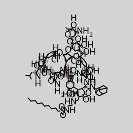 CCCCCCCCCCS(=O)(=O)NCCNCC1[C@H](O)C2C3C[C@H](CC[C@H]3O)[C@H]3NC(=O)[C@@H]4NC(=O)[C@H](CC(N)=O)NC(=O)[C@H](NC(=O)[C@@H](CC(C)C)NC)[C@H](O)[C@H]5CC[C@@H](Oc6cc4cc(c6O[C@@H]4C[C@H](CO)[C@@H](O)[C@H](O)[C@H]4O[C@H]4C[C@H](N)[C@H](O)[C@H](C)O4)O[C@@H]4CC[C@@H](C[C@@H]4Cl)[C@@H](O)[C@H](NC3=O)C(=O)N[C@H](C(=O)NC3C4CC6CC(C4)CC3C6)C2C[C@@H]1O)[C@H](Cl)C5